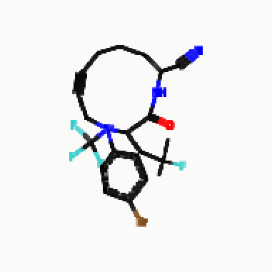 CC(C)(F)CC1C(=O)NC(C#N)CCCC#CC[N+]1(c1ccc(Br)cc1)C(F)(F)F